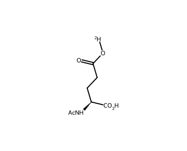 [2H]OC(=O)CC[C@H](NC(C)=O)C(=O)O